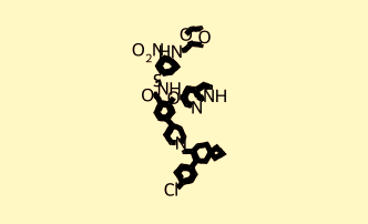 O=C(NSc1ccc(NCC2COCCO2)c([N+](=O)[O-])c1)c1ccc(C2=CCN(CC3=C(c4ccc(Cl)cc4)CC4(CCC4)CC3)CC2)cc1Oc1cnc2[nH]ccc2c1